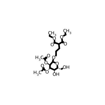 CCOC(=O)C(CCCOC1O[C@H](CO)[C@H](O)[C@H](OC(C)=O)[C@H]1OC(C)=O)C(=O)OCC